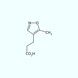 Cc1oncc1CCC(=O)O